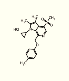 Cc1ccc(OCc2ncc(S(C)(=O)=O)c3c(C)c(C)n(C4CC4)c23)cc1.Cl